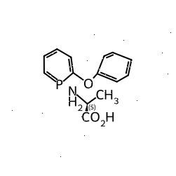 C[C@H](N)C(=O)O.c1ccc(Oc2ccccp2)cc1